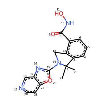 CC1(C)c2cccc(C(=O)NO)c2CN1c1nc2cnccc2o1